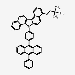 CC(C)(C)CCc1cccc2c1ccc1c2c2ccc3ccccc3c2n1-c1ccc(-c2c3ccccc3c(-c3ccccc3)c3ccccc23)cc1